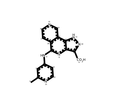 Cc1cc(Nc2nc3c(C(=O)O)n[nH]c3c3cnccc23)ccn1